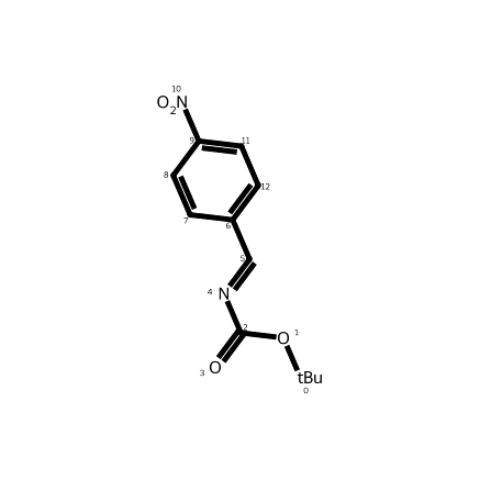 CC(C)(C)OC(=O)N=Cc1ccc([N+](=O)[O-])cc1